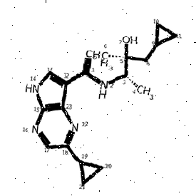 C=C(N[C@@H](C)[C@@](C)(O)CC1CC1)c1c[nH]c2ncc(C3CC3)nc12